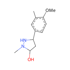 COc1ccc(C2CC(O)N(C)N2)cc1C